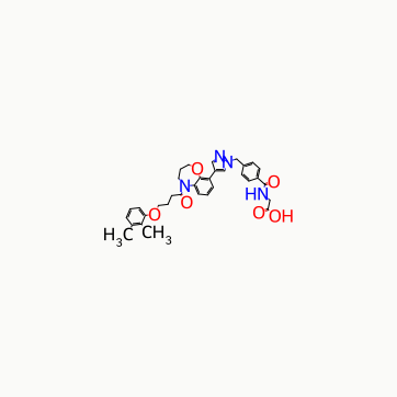 Cc1cccc(OCCCC(=O)N2CCCOc3c(-c4cnn(Cc5ccc(C(=O)NCC(=O)O)cc5)c4)cccc32)c1C